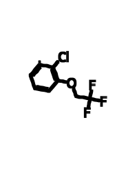 FC(F)(F)COc1ccc[c]c1Cl